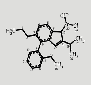 CCCc1ccc2c(c1-c1ccccc1CC)C=C(C(C)C)[CH]2[Zr]([Cl])[Cl]